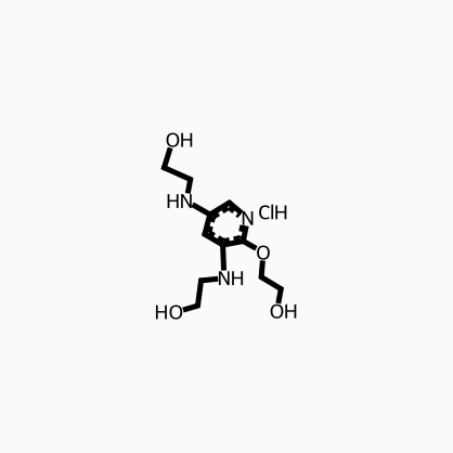 Cl.OCCNc1cnc(OCCO)c(NCCO)c1